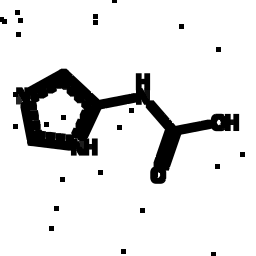 O=C(O)Nc1cnc[nH]1